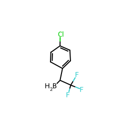 BC(c1ccc(Cl)cc1)C(F)(F)F